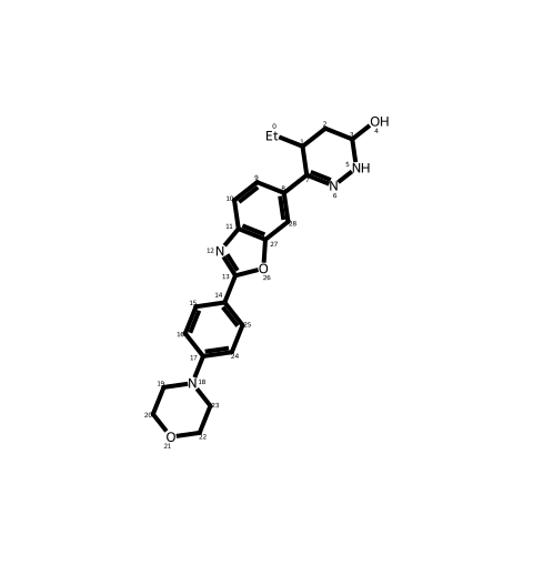 CCC1CC(O)NN=C1c1ccc2nc(-c3ccc(N4CCOCC4)cc3)oc2c1